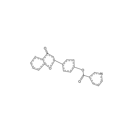 O=C(Oc1ccc(-c2cc(=O)c3[c]c[c]cc3o2)cc1)c1cccnc1